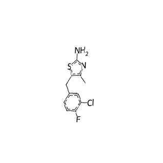 Cc1nc(N)sc1Cc1ccc(F)c(Cl)c1